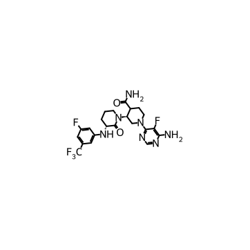 NC(=O)C1CCN(c2ncnc(N)c2F)C[C@H]1N1CCC[C@@H](Nc2cc(F)cc(C(F)(F)F)c2)C1=O